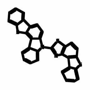 c1ccc2c(c1)sc1c2ccc2c1c1ccccc1n2-c1nc2c(ccc3sc4ccccc4c32)s1